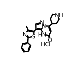 Cc1nc(-c2ccccc2)sc1-c1cnn2c(C3CCNCC3)cc(=O)[nH]c12.Cl